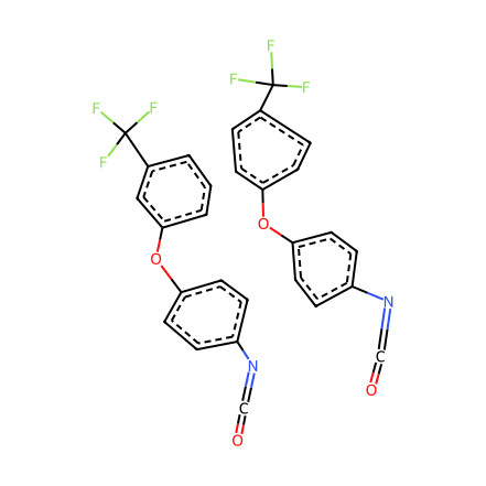 O=C=Nc1ccc(Oc2ccc(C(F)(F)F)cc2)cc1.O=C=Nc1ccc(Oc2cccc(C(F)(F)F)c2)cc1